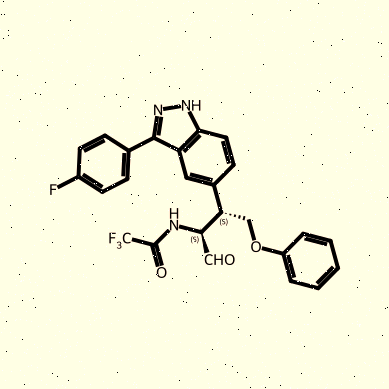 O=C[C@@H](NC(=O)C(F)(F)F)[C@@H](COc1ccccc1)c1ccc2[nH]nc(-c3ccc(F)cc3)c2c1